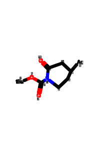 CC(=O)C1CCN(C(=O)OC(C)(C)C)C(=O)C1